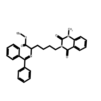 Cn1c(=O)n(CCCCC(N=C(c2ccccc2)c2ccccc2)C(=O)OC(C)(C)C)c(=O)c2ccccc21